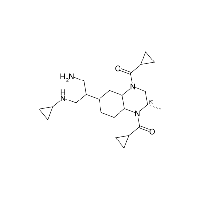 C[C@H]1CN(C(=O)C2CC2)C2CC(C(CN)CNC3CC3)CCC2N1C(=O)C1CC1